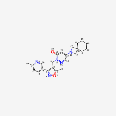 Cc1ccc(-c2noc(C)c2Cn2ncc(N3CC4(CCCCC4)C3)cc2=O)cn1